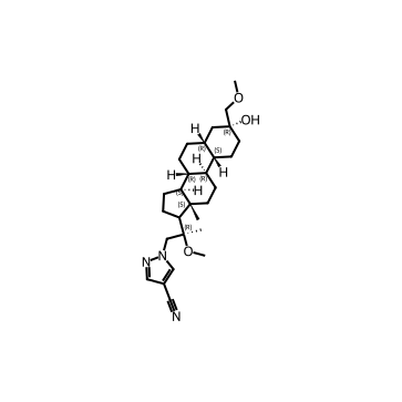 COC[C@@]1(O)CC[C@H]2[C@H](CC[C@@H]3[C@@H]2CC[C@]2(C)C([C@](C)(Cn4cc(C#N)cn4)OC)CC[C@@H]32)C1